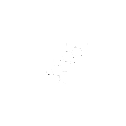 CC(C)C1=C2[C@H]3CC[C@@H]4[C@@]5(C)CC[C@H](C)C(C)(C)[C@@H]5CC[C@@]4(C)[C@]3(C)CC[C@@]2(C(=O)C(=O)O)CC1